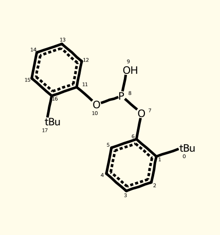 CC(C)(C)c1ccccc1OP(O)Oc1ccccc1C(C)(C)C